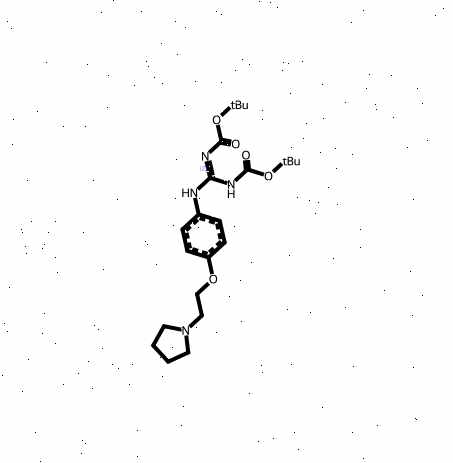 CC(C)(C)OC(=O)/N=C(\NC(=O)OC(C)(C)C)Nc1ccc(OCCN2CCCC2)cc1